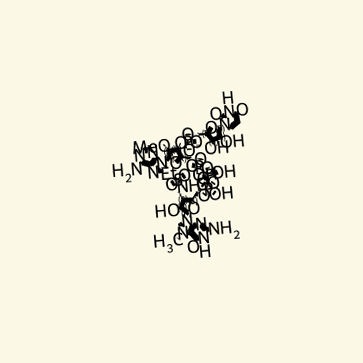 CCS(=O)(=O)NC[C@H]1[C@@H](O)[C@H](n2c[n+](C)c3c(=O)[nH]c(N)nc32)O[C@@H]1COP(=O)(O)OP(=O)(O)OP(=O)(O)OC[C@H]1O[C@@H](n2cnc3c(N)ncnc32)[C@H](OC)[C@@H]1OP(=O)([O-])OC[C@H]1O[C@@H](n2ccc(=O)[nH]c2=O)[C@H](O)[C@@H]1O